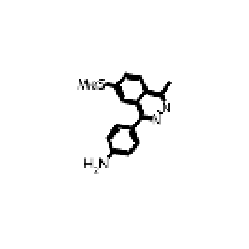 CSc1ccc2c(C)nnc(-c3ccc(N)cc3)c2c1